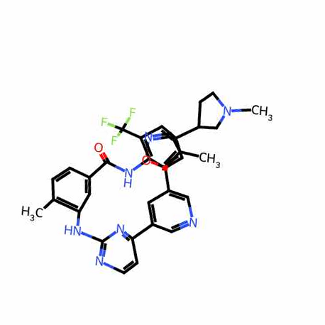 Cc1ccc(C(=O)Nc2ccc(C3CCN(C)C3)cc2C(F)(F)F)cc1Nc1nccc(-c2cncc(-c3oncc3C)c2)n1